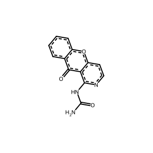 NC(=O)Nc1nccc2oc3ccccc3c(=O)c12